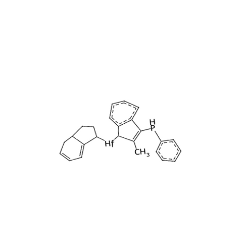 CC1=C(Pc2ccccc2)c2ccccc2[CH]1[Hf][CH]1CCC2CC=CC=C21